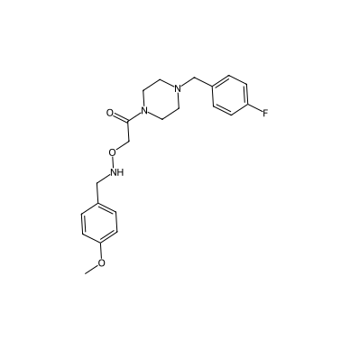 COc1ccc(CNOCC(=O)N2CCN(Cc3ccc(F)cc3)CC2)cc1